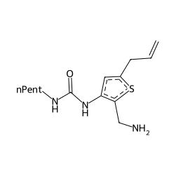 C=CCc1cc(NC(=O)NCCCCC)c(CN)s1